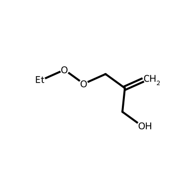 C=C(CO)COOCC